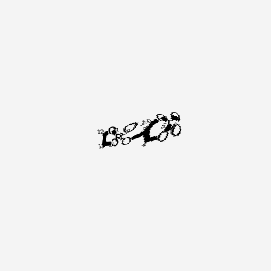 O=P1(OC2COS(=O)(=O)OC2)OCCO1